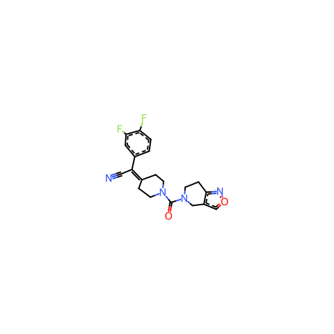 N#CC(=C1CCN(C(=O)N2CCc3nocc3C2)CC1)c1ccc(F)c(F)c1